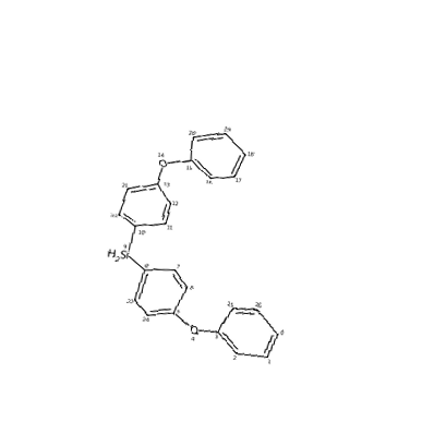 c1ccc(Oc2ccc([SiH2]c3ccc(Oc4ccccc4)cc3)cc2)cc1